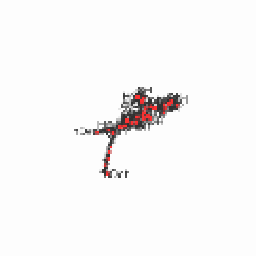 CCCCCCCC/C=C\CCCCCCCCCCCCCC(=O)N[C@@H](CO[C@@H]1OC(CO)[C@@H](O[C@@H]2OC(CO)[C@H](O[C@@H]3OC(CO)[C@H](O)[C@H](O[C@@H]4OC(CO[C@@H]5OC(CO)[C@@H](O)[C@H](O[C@H]6C(O)[C@H](O)C(C)O[C@H]6O)C5NC(C)=O)[C@H](O)[C@H](O[C@@H]5OC(CO)[C@H](O)[C@H](O)C5O)C4NC(C)=O)C3O)[C@H](O)C2O)[C@H](O)C1O)[C@H](O)/C=C/CCCCCCCCCCCCC